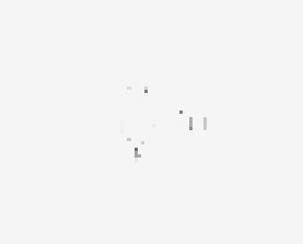 Cc1cccc2oc([C@@H]3c4nc[nH]c4CCN3C(=O)c3ccnn3C(F)F)cc12